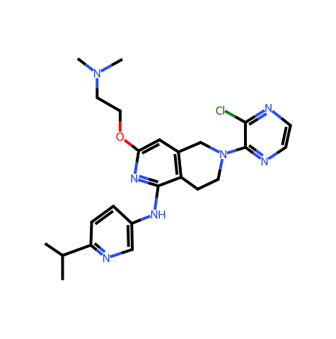 CC(C)c1ccc(Nc2nc(OCCN(C)C)cc3c2CCN(c2nccnc2Cl)C3)cn1